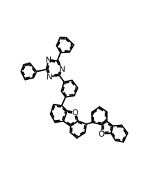 c1ccc(-c2nc(-c3ccccc3)nc(-c3cccc(-c4cccc5c4oc4c(-c6cccc7c6oc6ccccc67)cccc45)c3)n2)cc1